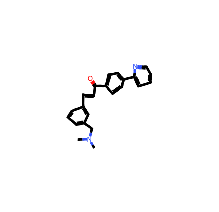 CN(C)Cc1cccc(/C=C/C(=O)c2ccc(-c3ccccn3)cc2)c1